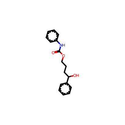 O=C(Nc1ccccc1)OCCCC(O)c1ccccc1